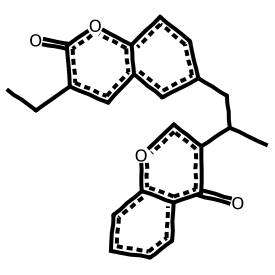 CCc1cc2cc(CC(C)c3coc4ccccc4c3=O)ccc2oc1=O